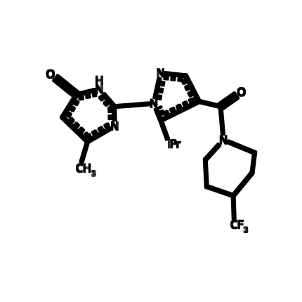 Cc1cc(=O)[nH]c(-n2ncc(C(=O)N3CCC(C(F)(F)F)CC3)c2C(C)C)n1